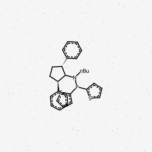 CCCCN(C1[C@@H](c2ccccc2)CC[C@@H]1c1ccccc1)P(c1cccs1)c1cccs1